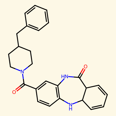 O=C1Nc2cc(C(=O)N3CCC(Cc4ccccc4)CC3)ccc2NC2C=CC=CC12